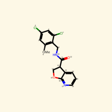 COc1cc(Cl)cc(Cl)c1CNC(=O)C1COc2ncccc21